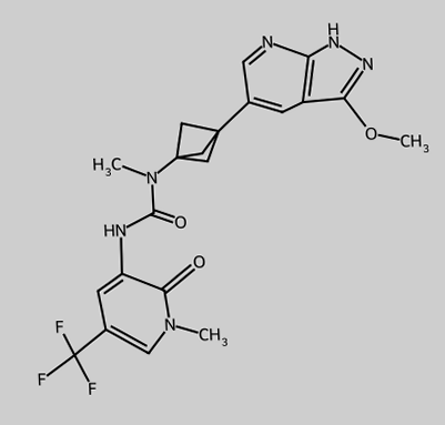 COc1n[nH]c2ncc(C34CC(N(C)C(=O)Nc5cc(C(F)(F)F)cn(C)c5=O)(C3)C4)cc12